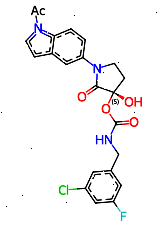 CC(=O)n1ccc2cc(N3CC[C@](O)(OC(=O)NCc4cc(F)cc(Cl)c4)C3=O)ccc21